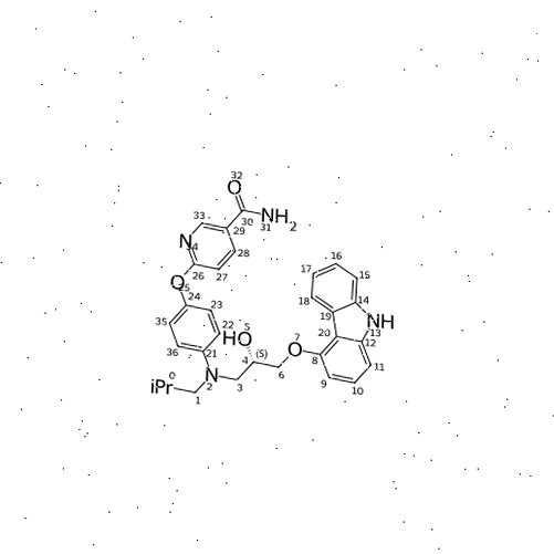 CC(C)CN(C[C@H](O)COc1cccc2[nH]c3ccccc3c12)c1ccc(Oc2ccc(C(N)=O)cn2)cc1